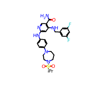 CC(C)S(=O)(=O)N1CCCN(c2ccc(Nc3cc(NCc4cc(F)cc(F)c4)c(C(N)=O)cn3)cc2)CC1